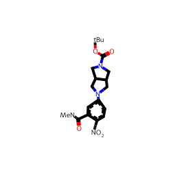 CNC(=O)c1cc(N2CC3CN(C(=O)OC(C)(C)C)CC3C2)ccc1[N+](=O)[O-]